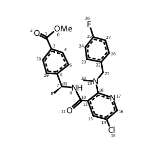 COC(=O)c1ccc([C@H](C)NC(=O)c2cc(Cl)cnc2N(C)Cc2ccc(F)cc2)cc1